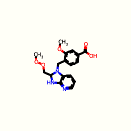 COOCC1Nc2ncccc2N1Cc1ccc(C(=O)O)cc1OC